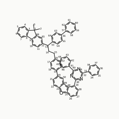 CC1(C)c2ccccc2-c2ccc(C(CCc3ccc(-c4ccc5oc6cccc(-c7nc(-c8ccccc8)nc(-c8ccccc8)n7)c6c5c4)cc3)c3ccc(-c4ccccc4)cc3)cc21